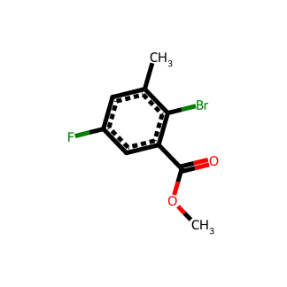 COC(=O)c1cc(F)cc(C)c1Br